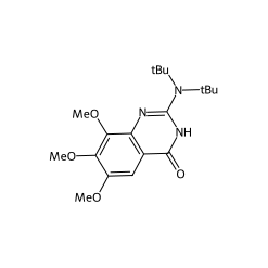 COc1cc2c(=O)[nH]c(N(C(C)(C)C)C(C)(C)C)nc2c(OC)c1OC